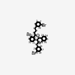 Brc1cccc(CCCC(OC(CCCc2cccc(Br)c2)c2ccccc2Br)c2ccccc2Br)c1